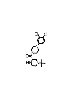 CC(C)(C)N1CCN[C@H](C(=O)N2CCN(c3ccc(Cl)c(Cl)c3)CC2)C1